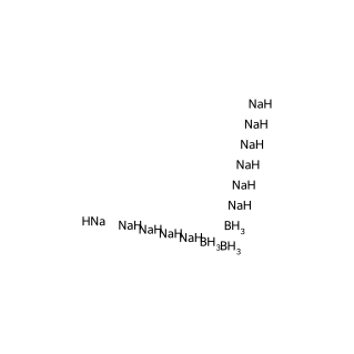 B.B.B.[NaH].[NaH].[NaH].[NaH].[NaH].[NaH].[NaH].[NaH].[NaH].[NaH].[NaH]